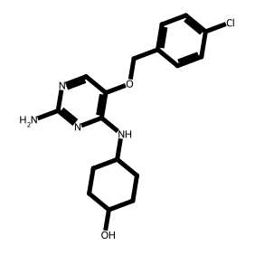 Nc1ncc(OCc2ccc(Cl)cc2)c(NC2CCC(O)CC2)n1